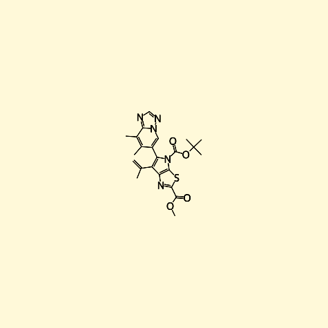 C=C(C)c1c(-c2cn3ncnc3c(C)c2C)n(C(=O)OC(C)(C)C)c2sc(C(=O)OC)nc12